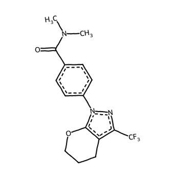 CN(C)C(=O)c1ccc(-n2nc(C(F)(F)F)c3c2OCCC3)cc1